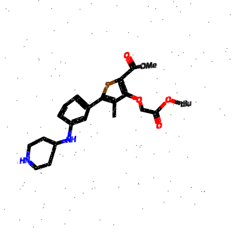 COC(=O)c1sc(-c2cccc(NC3CCNCC3)c2)c(C)c1OCC(=O)OC(C)(C)C